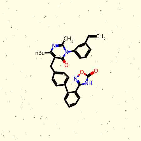 C=Cc1cccc(-n2c(C)nc(CCCC)c(Cc3ccc(-c4ccccc4-c4noc(=O)[nH]4)cc3)c2=O)c1